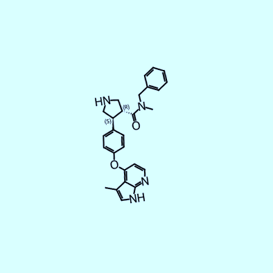 Cc1c[nH]c2nccc(Oc3ccc([C@H]4CNC[C@@H]4C(=O)N(C)Cc4ccccc4)cc3)c12